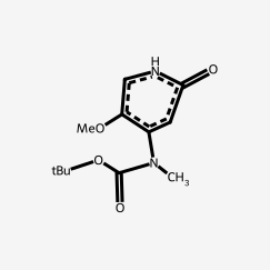 COc1c[nH]c(=O)cc1N(C)C(=O)OC(C)(C)C